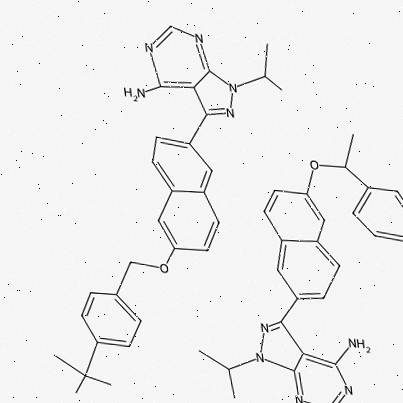 CC(C)n1nc(-c2ccc3cc(OCc4ccc(C(C)(C)C)cc4)ccc3c2)c2c(N)ncnc21.CC(Oc1ccc2cc(-c3nn(C(C)C)c4ncnc(N)c34)ccc2c1)c1ccccc1